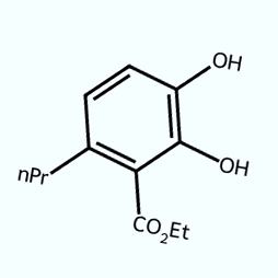 CCCc1ccc(O)c(O)c1C(=O)OCC